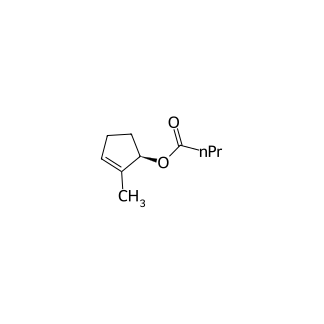 CCCC(=O)O[C@@H]1CCC=C1C